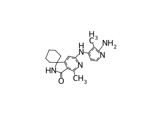 Cc1nc(Nc2ccnc(N)c2C)cc2c1C(=O)NC21CCCCC1